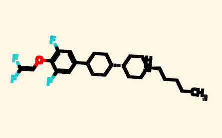 CCCCC[Si@H]1CC[C@H](C2CCC(c3cc(F)c(OC=C(F)F)c(F)c3)CC2)CC1